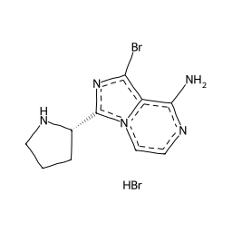 Br.Nc1nccn2c([C@@H]3CCCN3)nc(Br)c12